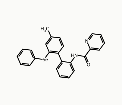 Cc1ccc(-c2ccccc2NC(=O)c2ccccn2)c([Se]c2ccccc2)c1